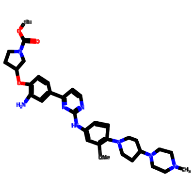 COc1cc(Nc2nccc(-c3ccc(OC4CCN(C(=O)OC(C)(C)C)C4)c(N)c3)n2)ccc1N1CCC(N2CCN(C)CC2)CC1